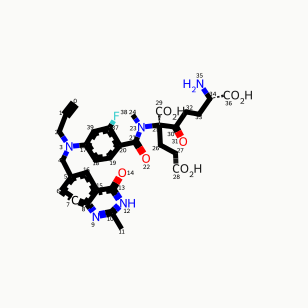 C#CCN(Cc1ccc2nc(C)[nH]c(=O)c2c1)c1ccc(C(=O)N(C)[C@@](CCC(=O)O)(C(=O)O)C(=O)CC[C@H](N)C(=O)O)c(F)c1